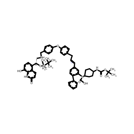 CC(C)(C)OC(=O)NC1CCC(N(C(=O)O)c2cc(/C=C/Cc3ccc(Oc4ccc(CNC[C@H](O[Si](C)(C)C(C)(C)C)c5ccc(O)c6[nH]c(=O)ccc56)cc4)cc3)ccc2-c2ccccc2)CC1